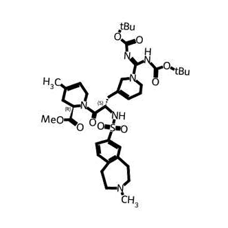 COC(=O)[C@H]1CC(C)=CCN1C(=O)[C@H](CC1=CCCN(C(=NC(=O)OC(C)(C)C)NC(=O)OC(C)(C)C)C1)NS(=O)(=O)c1ccc2c(c1)CCN(C)CC2